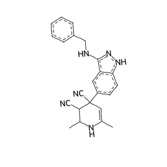 CC1=CC(C#N)(c2ccc3[nH]nc(NCc4ccccc4)c3c2)C(C#N)C(C)N1